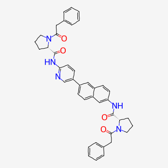 O=C(Nc1ccc2cc(-c3ccc(NC(=O)[C@@H]4CCCN4C(=O)Cc4ccccc4)nc3)ccc2c1)[C@@H]1CCCN1C(=O)Cc1ccccc1